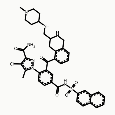 Cc1c(Cl)c(C(N)=O)nn1-c1ccc(C(=O)NS(=O)(=O)c2ccc3ccccc3c2)cc1C(=O)c1cccc2c1CC(CNC1CCN(C)CC1)NC2